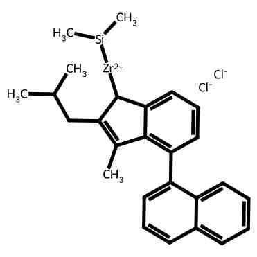 CC1=C(CC(C)C)[CH]([Zr+2][Si](C)C)c2cccc(-c3cccc4ccccc34)c21.[Cl-].[Cl-]